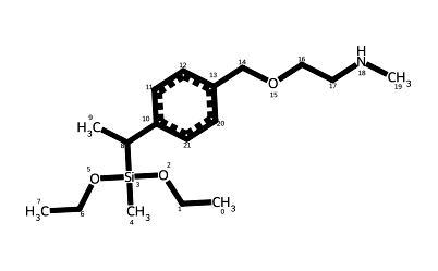 CCO[Si](C)(OCC)C(C)c1ccc(COCCNC)cc1